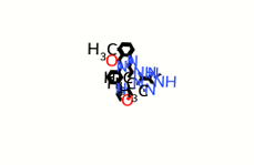 C=N/C(NC(C)c1nc2cccc(C)c2c(=O)n1-c1cccc(N2CCOCC2)c1)=C1/N=CN/C1=N/C